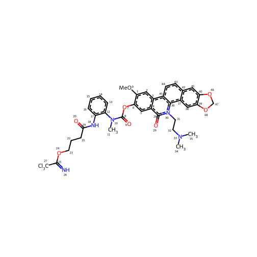 COc1cc2c(cc1OC(=O)N(C)c1ccccc1NC(=O)CCCOC(=N)C(Cl)(Cl)Cl)c(=O)n(CCN(C)C)c1c3cc4c(cc3ccc21)OCO4